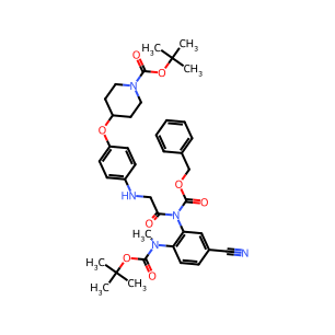 CN(C(=O)OC(C)(C)C)c1ccc(C#N)cc1N(C(=O)CNc1ccc(OC2CCN(C(=O)OC(C)(C)C)CC2)cc1)C(=O)OCc1ccccc1